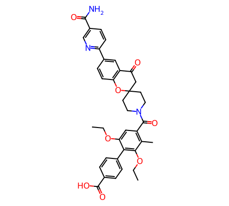 CCOc1cc(C(=O)N2CCC3(CC2)CC(=O)c2cc(-c4ccc(C(N)=O)cn4)ccc2O3)c(C)c(OCC)c1-c1ccc(C(=O)O)cc1